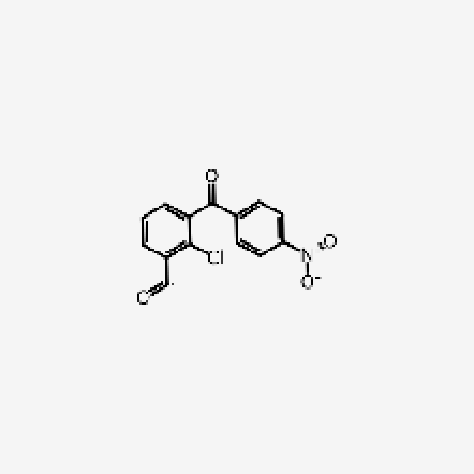 O=[C]c1cccc(C(=O)c2ccc([N+](=O)[O-])cc2)c1Cl